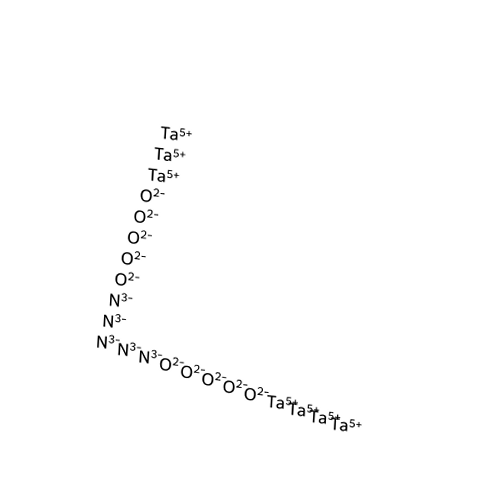 [N-3].[N-3].[N-3].[N-3].[N-3].[O-2].[O-2].[O-2].[O-2].[O-2].[O-2].[O-2].[O-2].[O-2].[O-2].[Ta+5].[Ta+5].[Ta+5].[Ta+5].[Ta+5].[Ta+5].[Ta+5]